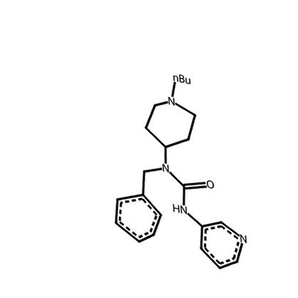 CCCCN1CCC(N(Cc2ccccc2)C(=O)Nc2cccnc2)CC1